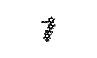 COc1cccnc1-c1ccc(C(=O)Nc2ccc(C(C)C)cc2)cc1F